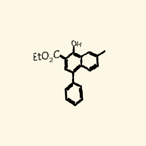 CCOC(=O)c1cc(-c2ccccc2)c2ccc(C)cc2c1O